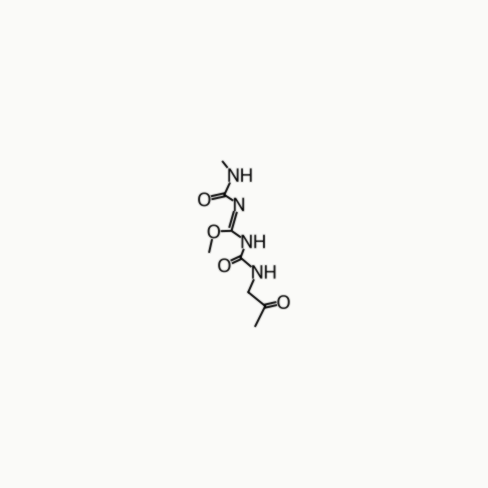 CNC(=O)N=C(NC(=O)NCC(C)=O)OC